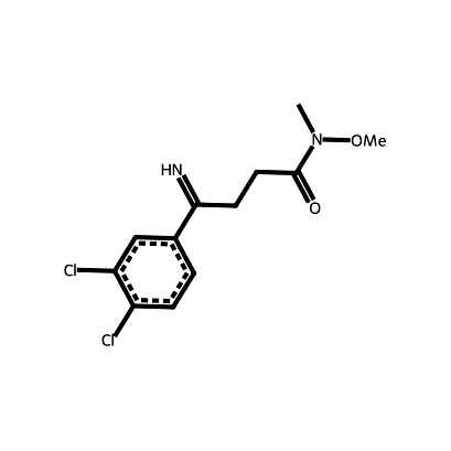 CON(C)C(=O)CCC(=N)c1ccc(Cl)c(Cl)c1